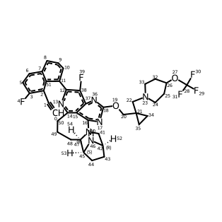 C#Cc1c(F)ccc2cccc(-c3nc4c5c(nc(OCC6(CN7CCC(OC(F)(F)F)CC7)CC6)nc5c3F)N3C[C@H]5CC[C@H](N5)[C@H]3CCC4)c12